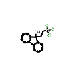 CC1(CC[Si](Cl)(Cl)Cl)c2ccccc2-c2ccccc21